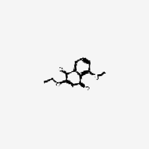 CCOC1=CC(=O)c2c(OC)cccc2C1=O